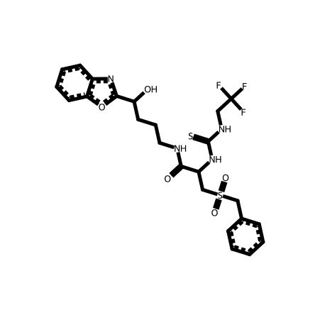 O=C(NCCCC(O)c1nc2ccccc2o1)C(CS(=O)(=O)Cc1ccccc1)NC(=S)NCC(F)(F)F